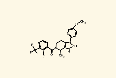 COc1ccc(N2NNC3=C2CCN(C(=O)c2cccc(C(F)(F)F)c2Cl)C3C)nc1